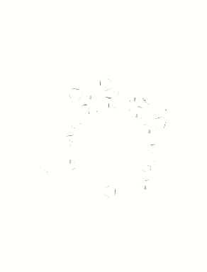 C[C@@]12CCCN1C(=O)[C@H](Cc1ccc(O)cc1)NC(=O)[C@H](Cc1c[nH]cn1)NC(=O)[C@H](CC(=O)O)NC(=O)[C@H](Cc1c[nH]c3ccc(F)cc13)NC(=O)[C@H](Cc1c[nH]c3ccc(F)cc13)NC(=O)c1coc(n1)[C@H](CCCCN)NC(=O)CCSCc1cccc(c1)CSC[C@@H](C(N)=O)NC2=O